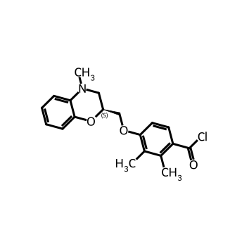 Cc1c(OC[C@@H]2CN(C)c3ccccc3O2)ccc(C(=O)Cl)c1C